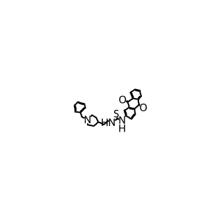 O=C1c2ccccc2C(=O)c2cc(NC(=S)NCCC3CCN(Cc4ccccc4)CC3)ccc21